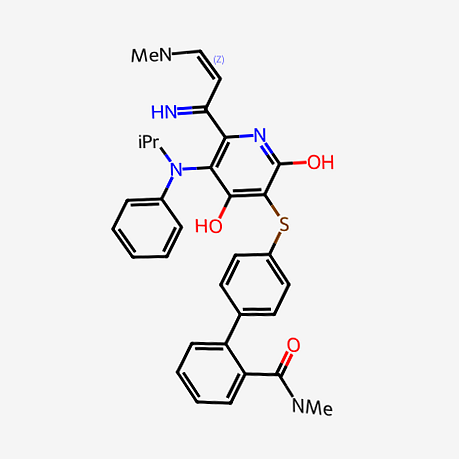 CN/C=C\C(=N)c1nc(O)c(Sc2ccc(-c3ccccc3C(=O)NC)cc2)c(O)c1N(c1ccccc1)C(C)C